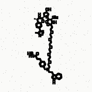 Cc1ncsc1-c1ccc([C@H](C)NC(=O)[C@@H]2C[C@@H](O)CN2C(=O)[C@@H](NC(=O)CCOCCOCCOCCOCCOCCN(CCc2c[nH]c3ccccc23)Cc2ccc(/C=C/C(=O)NO)cc2)C(C)(C)C)cc1